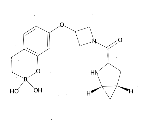 O=C([C@@H]1C[C@@H]2C[C@@H]2N1)N1CC(Oc2ccc3c(c2)O[B-](O)(O)CC3)C1